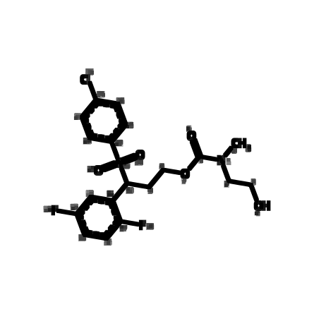 CN(CCO)C(=O)OCCC(c1cc(F)ccc1F)S(=O)(=O)c1ccc(Cl)cc1